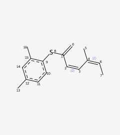 C=C(/C=C\C(C)=C/C)Sc1ccc(C)cc1C